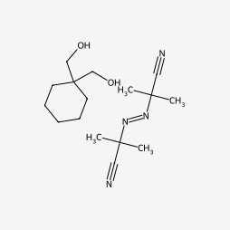 CC(C)(C#N)N=NC(C)(C)C#N.OCC1(CO)CCCCC1